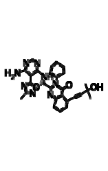 Cc1noc(-c2c(N)ncnc2N[C@@H](C)c2nc3cccc(C#CC(C)(C)O)c3c(=O)n2-c2ccccc2)n1